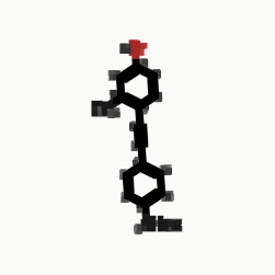 CCCCCCc1ccc(C#Cc2ccc(Br)cc2CC)cc1